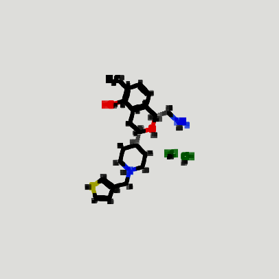 Cc1ccc2c(c1O)C[C@@H](C1CCN(Cc3ccsc3)CC1)O[C@H]2CN.Cl.Cl